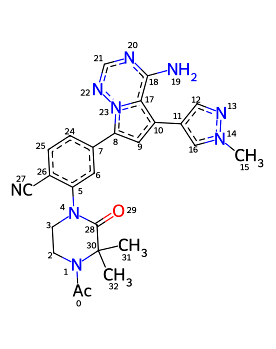 CC(=O)N1CCN(c2cc(-c3cc(-c4cnn(C)c4)c4c(N)ncnn34)ccc2C#N)C(=O)C1(C)C